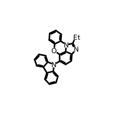 CCc1nc2ccc(-n3c4ccccc4c4ccccc43)c3c2n1-c1ccccc1O3